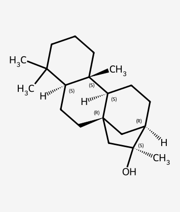 CC1(C)CCC[C@@]2(C)[C@H]1CC[C@]13C[C@@H](CC[C@@H]12)[C@@](C)(O)C3